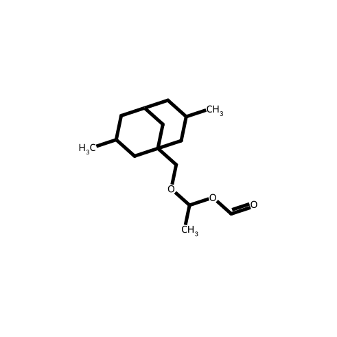 CC1CC2CC(C)CC(COC(C)OC=O)(C1)C2